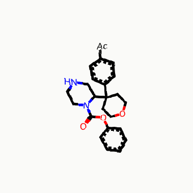 CC(=O)c1ccc(C2(C3CNCCN3C(=O)Oc3ccccc3)CCOCC2)cc1